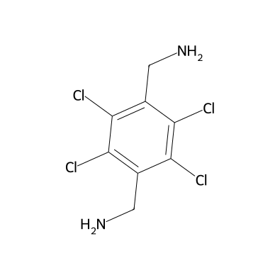 NCc1c(Cl)c(Cl)c(CN)c(Cl)c1Cl